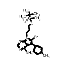 Cc1ccc(-c2c(Br)n(CCCO[Si](C)(C)C(C)(C)C)c3ncnc(N)c23)cc1